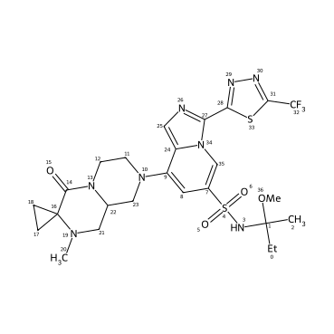 CCC(C)(NS(=O)(=O)c1cc(N2CCN3C(=O)C4(CC4)N(C)CC3C2)c2cnc(-c3nnc(C(F)(F)F)s3)n2c1)OC